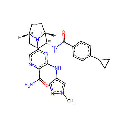 Cn1cc(Nc2nc(N3[C@H]4CC[C@@H]3[C@H](NC(=O)c3ccc(C5CC5)cc3)CC4)cnc2C(N)=O)cn1